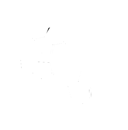 CN([C@@H](CC(C)(C)C)C(N)=O)[C@H]1CC[C@@H]2CN(S(=O)(=O)c3ccc(C(F)(F)F)cc3Cl)C[C@@H]21